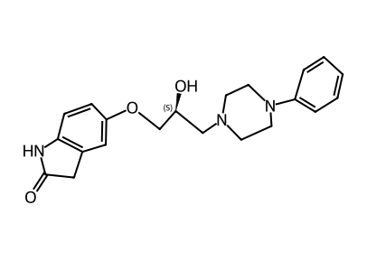 O=C1Cc2cc(OC[C@@H](O)CN3CCN(c4ccccc4)CC3)ccc2N1